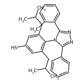 Cc1ccccc1-c1nnc(-c2ccccc2)n1-c1c(CC(C)C)cc(S)cc1CC(C)C